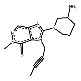 CC#CCn1c(N2CCCC(N)C2)nc2cnn(C)c(=O)c21